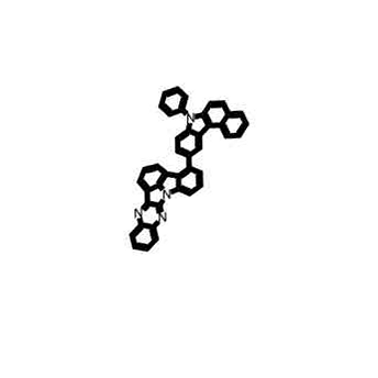 c1ccc(-n2c3ccc(-c4cccc5c4c4cccc6c7nc8ccccc8nc7n5c64)cc3c3c4ccccc4ccc32)cc1